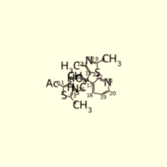 CC(=O)c1sc(C)nc1C.Cc1nc(C)c(C(C)(O)c2cccnc2)s1